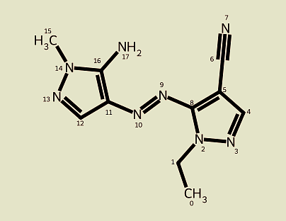 CCn1ncc(C#N)c1N=Nc1cnn(C)c1N